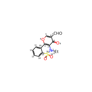 CCN1c2c(occ(C=O)c2=O)-c2ccccc2S1(=O)=O